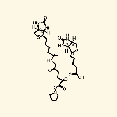 O=C(CCC(=O)C(=O)ON1CCCC1)CNC(=O)CCCCC1SC[C@@H]2NC(=O)N[C@H]12.O=C(O)CCCC[C@@H]1SC[C@@H]2NC(=O)N[C@@H]21